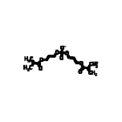 C=C(C)C(=O)OCCCOP(=O)([O-])OCCCOC(=O)C(=C)C.[Li+]